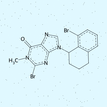 Cn1c(Br)nc2c(ncn2C2CCCc3cccc(Br)c32)c1=O